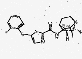 C[C@H]1[C@H](NC(=O)c2ncc(Sc3ccccc3F)s2)C2CCN1CC2